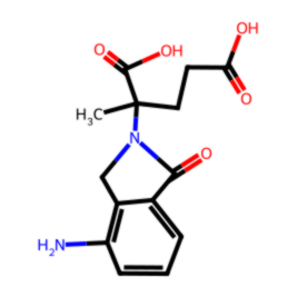 CC(CCC(=O)O)(C(=O)O)N1Cc2c(N)cccc2C1=O